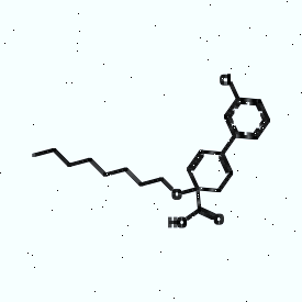 CCCCCCCCOC1(C(=O)O)C=CC(c2cccc(Cl)c2)=CC1